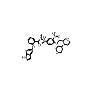 O=C(NS(=O)(=O)c1ccc(OCC2COCCN2C2CCOCC2)c([N+](=O)[O-])c1)c1ccccc1Oc1cnc2[nH]ccc2c1